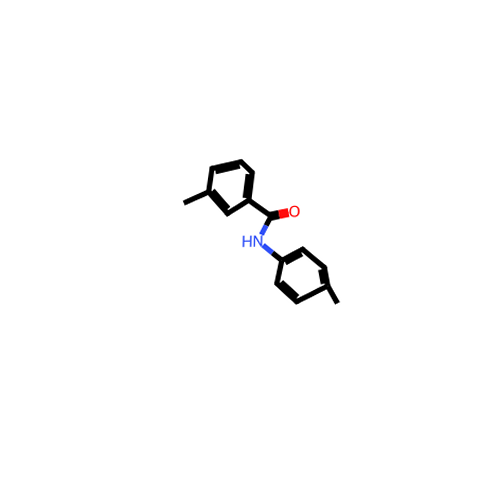 Cc1ccc(NC(=O)c2cccc(C)c2)cc1